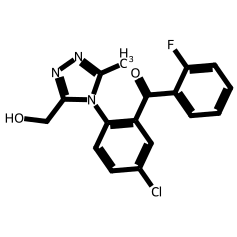 Cc1nnc(CO)n1-c1ccc(Cl)cc1C(=O)c1ccccc1F